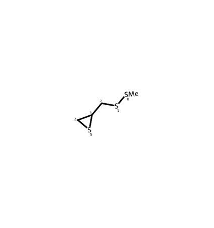 CSSCC1CS1